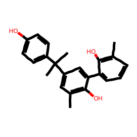 Cc1cccc(-c2cc(C(C)(C)c3ccc(O)cc3)cc(C)c2O)c1O